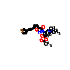 C[N+](C)(C)C[C@@H](CC(=O)OC(=O)C(F)(F)F)NC(=O)c1ccc(C#Cc2ccsc2)o1